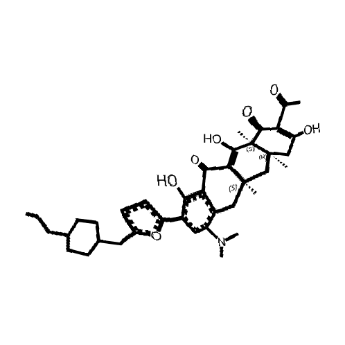 CCCC1CCC(Cc2ccc(-c3cc(N(C)C)c4c(c3O)C(=O)C3=C(O)[C@@]5(C)C(=O)C(C(C)=O)=C(O)C[C@@]5(C)C[C@@]3(C)C4)o2)CC1